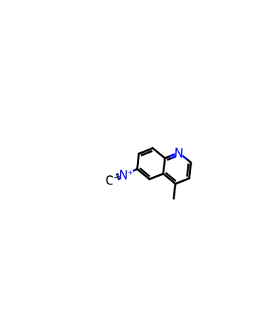 [C-]#[N+]c1ccc2nccc(C)c2c1